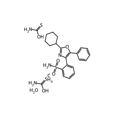 C.NC(O)=S.NC(O)=S.NS(=O)(=O)c1ccccc1-c1nc(C2CCCCC2)oc1-c1ccccc1.O